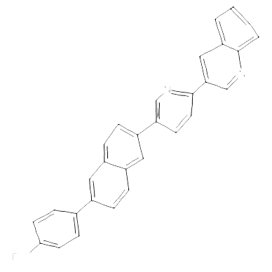 FC(F)(F)c1ccc(-c2ccc3cc(-c4ccc(-c5cnc6ccccc6c5)nc4)ccc3c2)cc1